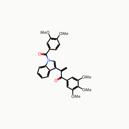 C=C(C(=O)c1cc(OC)c(OC)c(OC)c1)c1cn(C(=O)c2ccc(OC)c(OC)c2)c2ccccc12